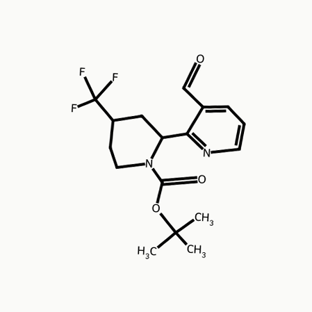 CC(C)(C)OC(=O)N1CCC(C(F)(F)F)CC1c1ncccc1C=O